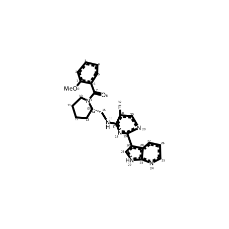 COc1ccccc1C(=O)N1CCCC[C@H]1CNc1nc(-c2c[nH]c3ncccc23)ncc1F